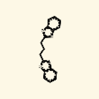 c1ccc2oc(CCCc3nc4ccccc4o3)nc2c1